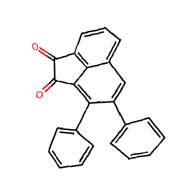 O=C1C(=O)c2c(-c3ccccc3)c(-c3ccccc3)cc3cccc1c23